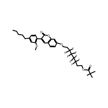 CCCCCc1ccc(-c2cc3ccc(OCCC(F)(F)C(F)(F)C(F)(F)C(F)(F)CCOC(=O)C(C)(C)C)cc3oc2=O)c(OC)c1